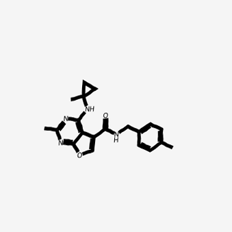 Cc1ccc(CNC(=O)c2coc3nc(C)nc(NC4(C)CC4)c23)cc1